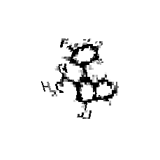 CC(N)c1cc(Cl)c2ccncc2c1-c1cccc(F)c1